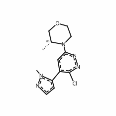 C[C@@H]1COCCN1c1cc(-c2ccnn2C)c(Cl)nn1